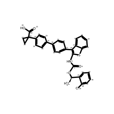 C[C@@H](OC(=O)Nc1sc2ccccc2c1-c1ccc(-c2ccc(C3(C(=O)O)CC3)cc2)cc1)c1ccccc1Cl